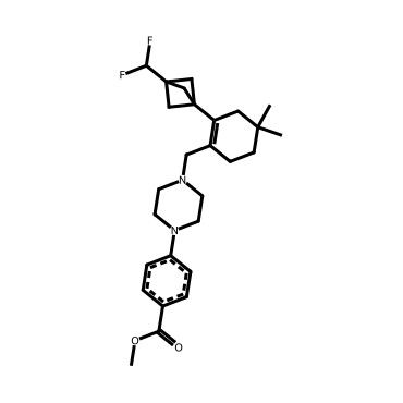 COC(=O)c1ccc(N2CCN(CC3=C(C45CC(C(F)F)(C4)C5)CC(C)(C)CC3)CC2)cc1